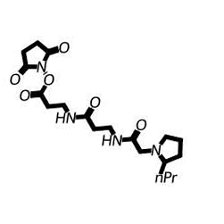 CCCC1CCCN1CC(=O)NCCC(=O)NCCC(=O)ON1C(=O)CCC1=O